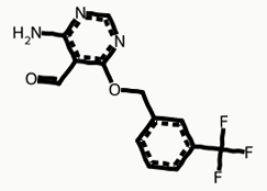 Nc1ncnc(OCc2cccc(C(F)(F)F)c2)c1C=O